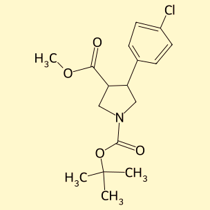 COC(=O)C1CN(C(=O)OC(C)(C)C)CC1c1ccc(Cl)cc1